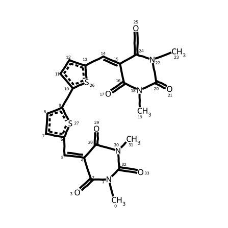 CN1C(=O)C(=Cc2ccc(-c3ccc(C=C4C(=O)N(C)C(=O)N(C)C4=O)s3)s2)C(=O)N(C)C1=O